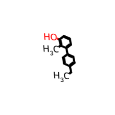 CCc1ccc(-c2cccc(O)c2C)cc1